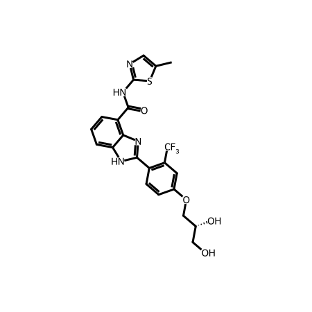 Cc1cnc(NC(=O)c2cccc3[nH]c(-c4ccc(OC[C@H](O)CO)cc4C(F)(F)F)nc23)s1